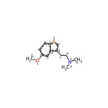 COc1ccc2scc(CCN(C)C)c2c1